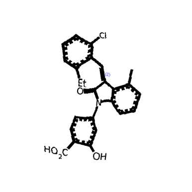 CCc1cccc(Cl)c1/C=C1\C(=O)N(c2ccc(C(=O)O)c(O)c2)c2cccc(C)c21